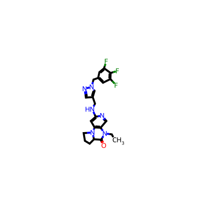 CCN1C(=O)C2CCCN2c2cc(NCc3cnn(Cc4cc(F)c(F)c(F)c4)c3)ncc21